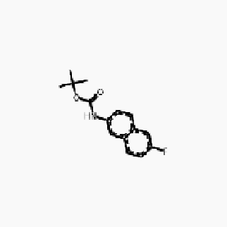 CC(C)(C)OC(=O)Nc1ccc2cc(F)ccc2c1